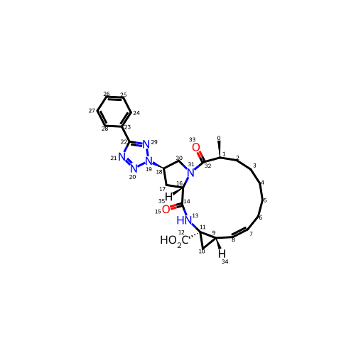 C[C@H]1CCCCC/C=C\[C@@H]2C[C@@]2(C(=O)O)NC(=O)[C@@H]2C[C@@H](n3nnc(-c4ccccc4)n3)CN2C1=O